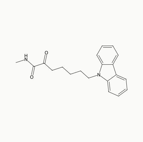 CNC(=O)C(=O)CCCCCn1c2ccccc2c2ccccc21